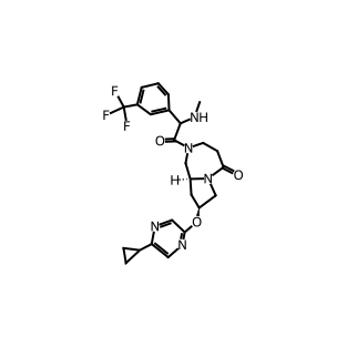 CNC(C(=O)N1CCC(=O)N2C[C@@H](Oc3cnc(C4CC4)cn3)C[C@H]2C1)c1cccc(C(F)(F)F)c1